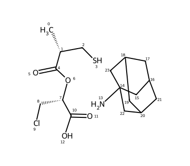 C[C@H](CS)C(=O)O[C@@H](CCl)C(=O)O.NC12CC3CC(CC(C3)C1)C2